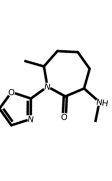 CNC1CCCC(C)N(c2ncco2)C1=O